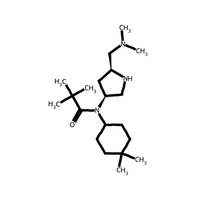 CN(C)C[C@@H]1C[C@H](N(C(=O)C(C)(C)C)C2CCC(C)(C)CC2)CN1